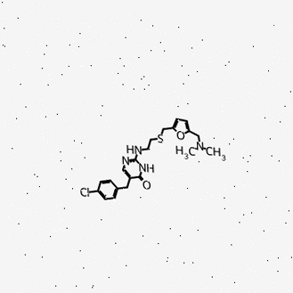 CN(C)Cc1ccc(CSCCNc2ncc(Cc3ccc(Cl)cc3)c(=O)[nH]2)o1